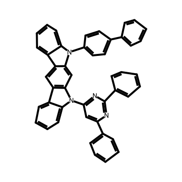 c1ccc(-c2ccc(-n3c4ccccc4c4cc5c6ccccc6n(-c6cc(-c7ccccc7)nc(-c7ccccc7)n6)c5cc43)cc2)cc1